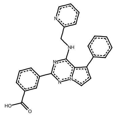 O=C(O)c1cccc(-c2nc(NCc3ccccn3)c3c(-c4ccccc4)ccn3n2)c1